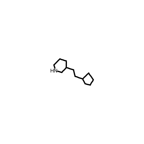 C1CCC(CCC2CCCNC2)C1